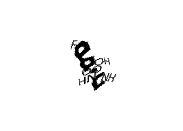 O=C(NC1CCCNC1)OC1CC(c2cccc(F)c2)CC1O